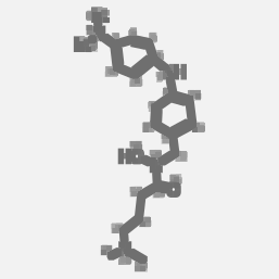 CCN(CC)c1ccc(Nc2ccc(CN(O)C(=O)CCCN(C)C)cc2)cc1